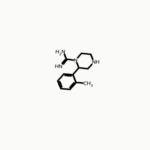 Cc1ccccc1C1CNCCN1C(=N)N